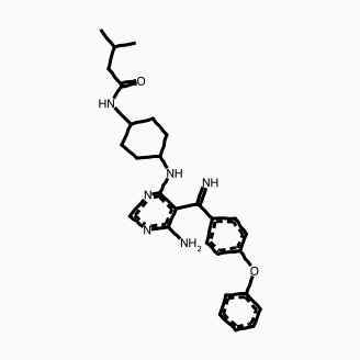 CC(C)CC(=O)NC1CCC(Nc2ncnc(N)c2C(=N)c2ccc(Oc3ccccc3)cc2)CC1